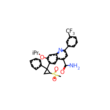 CC(C)Oc1cc2nc(-c3cccc(C(F)(F)F)c3)cc(C(N)=O)c2cc1C1(c2ccccc2)CC1S(C)(=O)=O